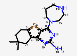 CC1(C)CCc2sc3c(N4CCCNCC4)nc(N)nc3c2C1